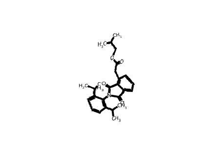 CC(C)COC(=O)Cc1cccc2c1C(=O)N(c1c(C(C)C)cccc1C(C)C)C2=O